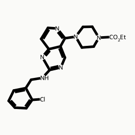 CCOC(=O)N1CCN(c2nccc3nc(NCc4ccccc4Cl)ncc23)CC1